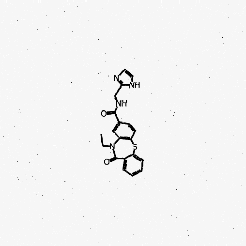 CCN1C(=O)c2ccccc2Sc2ccc(C(=O)NCc3ncc[nH]3)cc21